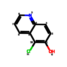 Oc1ccc2ncccc2c1Cl